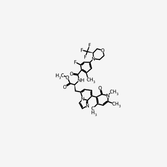 COC(=O)[C@H](Cc1ccc(-c2c(C)cc(C)n(C)c2=O)c2nccn12)NC(=O)c1c(C)cc(N2CCOC[C@@H]2C(F)(F)F)cc1F